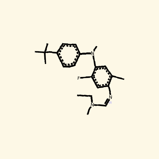 CCN(C)/C=N\c1cc(F)c(N(C)c2ccc(C(C)(C)C)cc2)cc1C